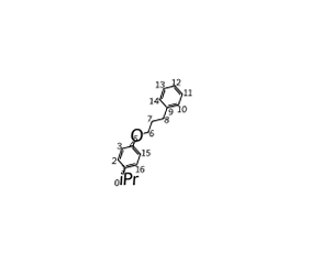 CC(C)c1ccc(OCCCc2ccccc2)cc1